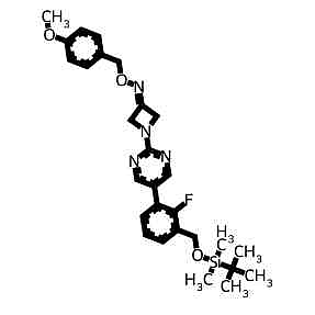 COc1ccc(CON=C2CN(c3ncc(-c4cccc(CO[Si](C)(C)C(C)(C)C)c4F)cn3)C2)cc1